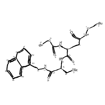 CCCCONC(=O)C[C@H](NC(=O)OC(C)(C)C)C(=O)N[C@@H](COC)C(=O)NCc1cccc2ccccc12